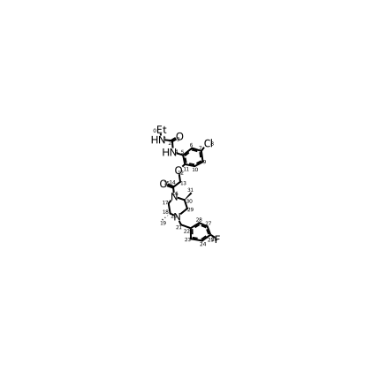 CCNC(=O)Nc1cc(Cl)ccc1OCC(=O)N1C[C@@H](C)N(Cc2ccc(F)cc2)C[C@@H]1C